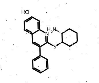 Cl.N[C@@H]1CCCC[C@H]1Sc1nc2ccccc2cc1-c1ccccc1